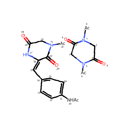 CC(=O)N1CC(=O)N(C(C)=O)CC1=O.CC(=O)Nc1ccc(/C=C2/NC(=O)CN(C(C)=O)C2=O)cc1